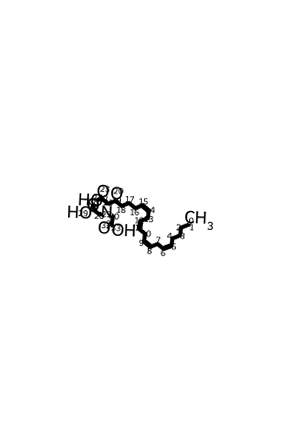 CCCCC/C=C\C/C=C\C/C=C\C/C=C\CCCC(=O)C(C(=O)O)N(CC(=O)O)CC(=O)O